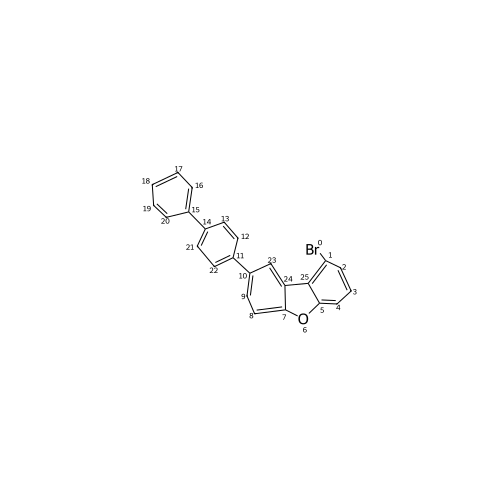 Brc1cccc2oc3ccc(-c4ccc(-c5ccccc5)cc4)cc3c12